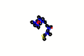 c1ccc(-n2c3ccccc3c3ccc4c5ccccc5n(-c5ccc(-n6c7ccccc7c7ccc8c9ccc(-c%10ccc%11c(c%10)c%10ccccc%10n%11-c%10ccc%11c(c%10)c%10ccccc%10n%11-c%10ccc%11sc%12ccccc%12c%11c%10)cc9n(-c9ccccc9)c8c76)cc5)c4c32)cc1